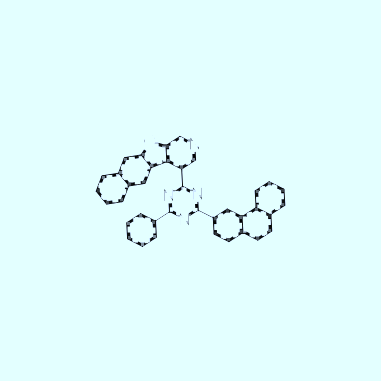 c1ccc(-c2nc(-c3ccc4ccc5ccccc5c4c3)nc(-c3cncc4oc5cc6ccccc6cc5c34)n2)cc1